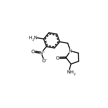 Nc1ccc(CN2CCC(N)C2=O)cc1[N+](=O)[O-]